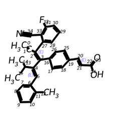 CC/C(=C(\C(=C\c1ccccc1C)C(C)C)c1ccc(/C=C/C(=O)O)cc1)c1cccc(F)c1C#N